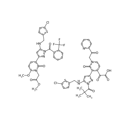 CC(C)(C)C(=O)n1nc(-c2c(C(=O)C(=O)O)ccn(CC(=O)c3ccccn3)c2=O)cc1NCc1ccc(Cl)s1.COC(=O)Cn1c(OC)ccc(-c2cc(NCc3ccc(Cl)s3)n(C(=O)c3ccccc3C(F)(F)F)n2)c1=O